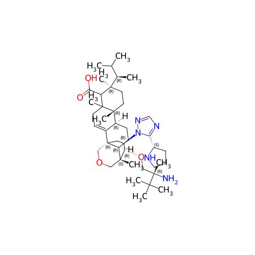 CC(C)[C@@H](C)[C@@]1(C)CC[C@]2(C)[C@H]3CC[C@@H]4[C@@]5(COC[C@@]4(C)[C@@H](OC[C@](C)(N)C(C)(C)C)[C@H](n4ncnc4[C@@H]4CCCN4)C5)C3=CCC2(C)C1C(=O)O